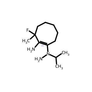 CC(C)N(N)/C1=C(\N)C(C)(F)CCCCC1